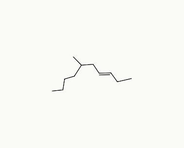 CCC=CCC(C)CCCC